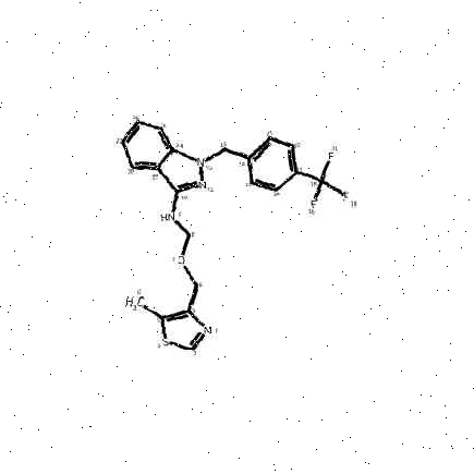 Cc1scnc1COCNc1nn(Cc2ccc(C(F)(F)F)cc2)c2ccccc12